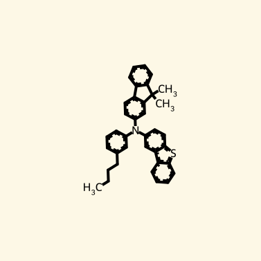 CCCCc1cccc(N(c2ccc3c(c2)C(C)(C)c2ccccc2-3)c2ccc3sc4ccccc4c3c2)c1